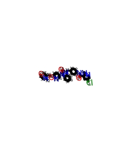 Cc1ncc(Cl)cc1C(=O)N[C@H]1CC[C@H](Cn2c(=O)n(-c3ccc(OC[C@@H]4COCCN4C)nc3)c3ccccc32)CC1